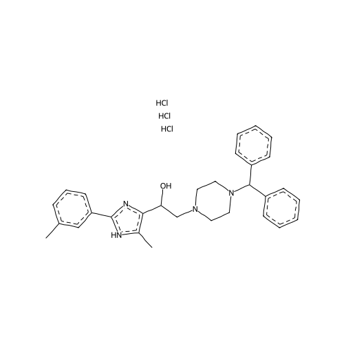 Cc1cccc(-c2nc(C(O)CN3CCN(C(c4ccccc4)c4ccccc4)CC3)c(C)[nH]2)c1.Cl.Cl.Cl